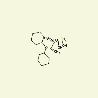 C1CCC(OC2CCCCC2)CC1.C=CC=C.CO.CO